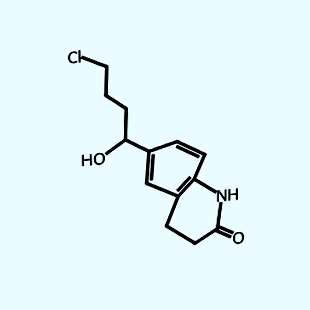 O=C1CCc2cc(C(O)CCCCl)ccc2N1